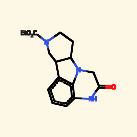 CCOC(=O)N1CCC2C(C1)c1cccc3c1N2CC(=O)N3